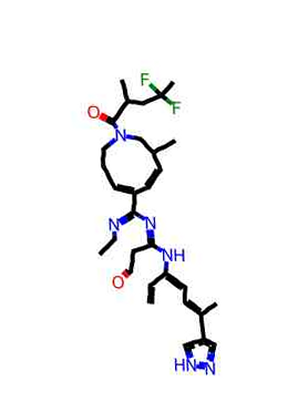 C=C/C(=C\C=C(/C)c1cn[nH]c1)N/C(CC=O)=N/C(=N\CC)C1=C/CCN(C(=O)C(C)CC(C)(F)F)CC(C)/C=C\1